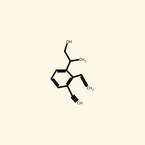 C#Cc1cccc([C](C)CO)c1C=C